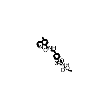 CCOC(=O)NCS(=O)(=O)c1ccc(CCNC(=O)c2ccc(C)c3cccnc23)cc1